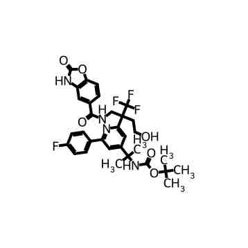 CC(C)(C)OC(=O)NC(C)(C)c1cc(-c2ccc(F)cc2)nc(C(CCO)(CNC(=O)c2ccc3oc(=O)[nH]c3c2)C(F)(F)F)c1